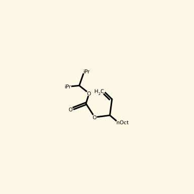 C=CC(CCCCCCCC)OC(=O)OC(C(C)C)C(C)C